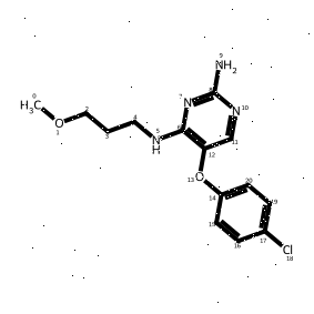 COCCCNc1nc(N)ncc1Oc1ccc(Cl)cc1